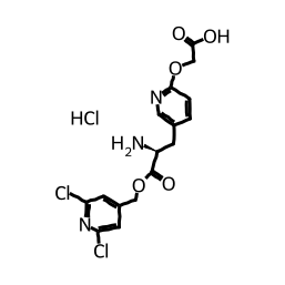 Cl.N[C@@H](Cc1ccc(OCC(=O)O)nc1)C(=O)OCc1cc(Cl)nc(Cl)c1